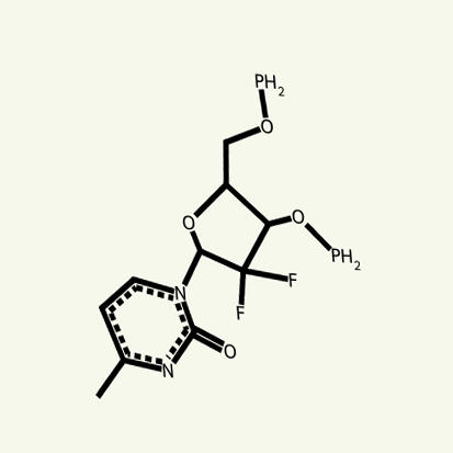 Cc1ccn(C2OC(COP)C(OP)C2(F)F)c(=O)n1